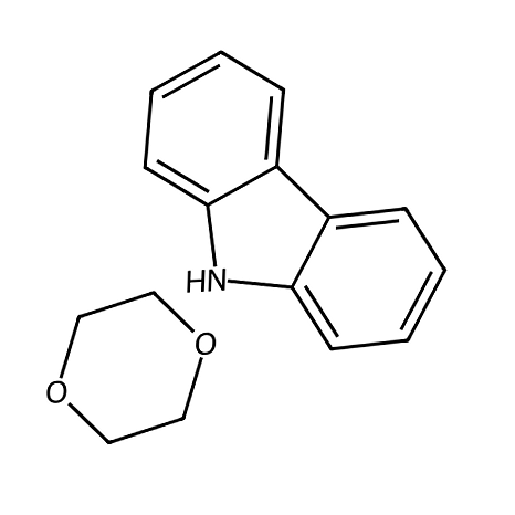 C1COCCO1.c1ccc2c(c1)[nH]c1ccccc12